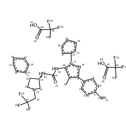 Cc1c(-c2cnc(N)nc2)nn(-c2ccccc2)c1NC(=O)N[C@H]1CN(CC(F)(F)F)C[C@@H]1c1ccccc1.O=C(O)C(F)(F)F.O=C(O)C(F)(F)F